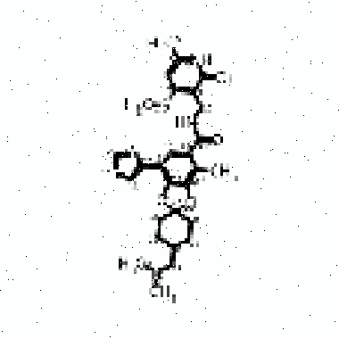 CSc1cc(C)[nH]c(=O)c1CNC(=O)c1cc(-c2cscn2)c2c(c1C)OC1(CCC(CN(C)C)CC1)O2